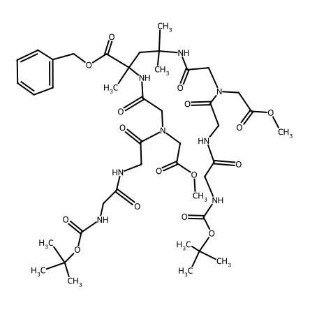 COC(=O)CN(CC(=O)NC(C)(C)CC(C)(NC(=O)CN(CC(=O)OC)C(=O)CNC(=O)CNC(=O)OC(C)(C)C)C(=O)OCc1ccccc1)C(=O)CNC(=O)CNC(=O)OC(C)(C)C